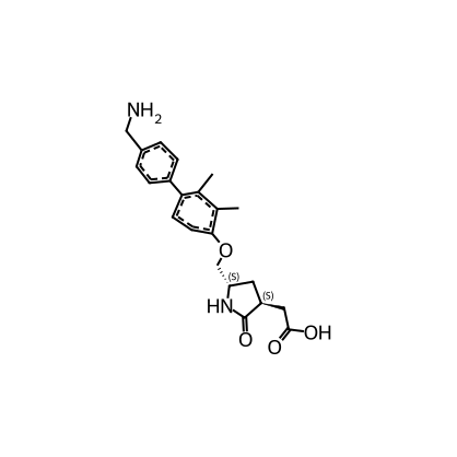 Cc1c(OC[C@@H]2C[C@@H](CC(=O)O)C(=O)N2)ccc(-c2ccc(CN)cc2)c1C